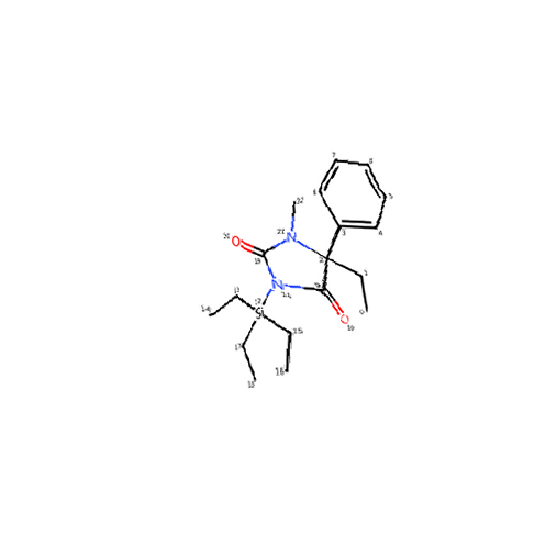 CCC1(c2ccccc2)C(=O)N([Si](CC)(CC)CC)C(=O)N1C